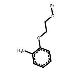 CCOCCOc1ccccc1C